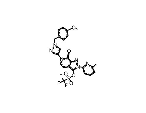 COc1ccc(Cn2cc(-n3ccc4c(OS(=O)(=O)C(F)(F)F)n(-c5cccc(C)n5)nc4c3=O)cn2)cc1